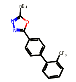 CCCCc1nnc(-c2ccc(-c3ccccc3C(F)(F)F)cc2)o1